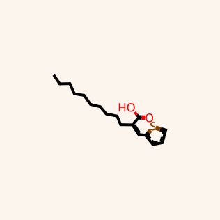 CCCCCCCCCCC(=Cc1cccs1)C(=O)O